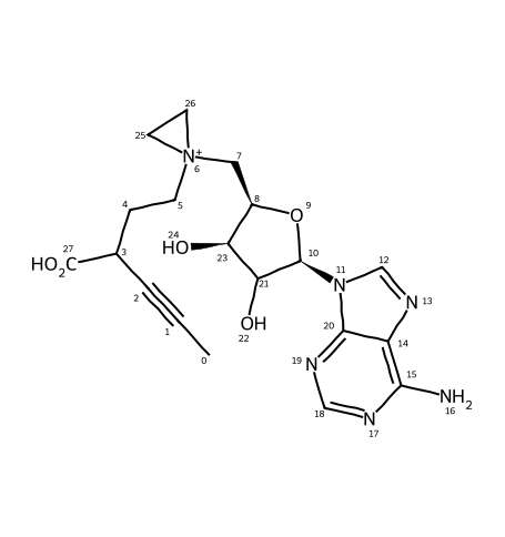 CC#CC(CC[N+]1(C[C@H]2O[C@@H](n3cnc4c(N)ncnc43)C(O)[C@H]2O)CC1)C(=O)O